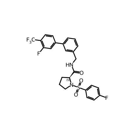 O=C(NCc1cccc(-c2ccc(C(F)(F)F)c(F)c2)c1)[C@@H]1CCCN1S(=O)(=O)c1ccc(F)cc1